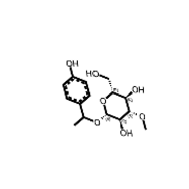 CO[C@@H]1[C@@H](O)[C@H](OC(C)c2ccc(O)cc2)O[C@H](CO)[C@H]1O